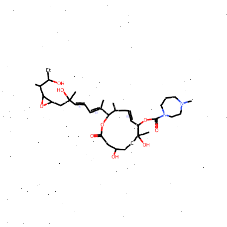 CCC(O)C(C)C1OC1CC(C)(O)/C=C/C=C(\C)C1OC(=O)CC(O)CCC(C)(O)C(OC(=O)N2CCCN(C)CC2)/C=C/C1C